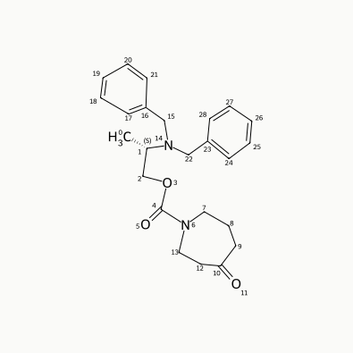 C[C@@H](COC(=O)N1CCCC(=O)CC1)N(Cc1ccccc1)Cc1ccccc1